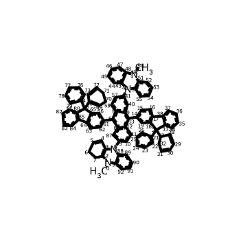 CN1C2=C(C=CCC2)N(c2ccc3c(-c4ccc5c(c4)C(c4ccccc4)(C4C=CC=CC4)c4ccccc4-5)c4cc(N5c6ccccc6N(C)c6ccccc65)ccc4c(-c4ccc5c(c4)C(C4=CCCC=C4)(c4ccccc4)c4ccccc4-5)c3c2)c2ccccc21